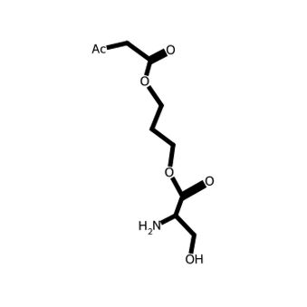 CC(=O)CC(=O)OCCCOC(=O)C(N)CO